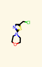 ClCc1cnc(N2CCOCC2)s1